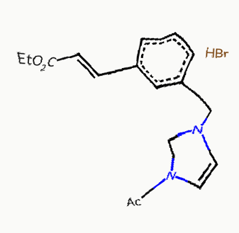 Br.CCOC(=O)C=Cc1cccc(CN2C=CN(C(C)=O)C2)c1